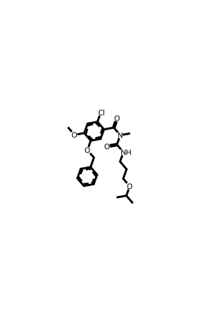 COc1cc(Cl)c(C(=O)N(C)C(=O)NCCCOC(C)C)cc1OCc1ccccc1